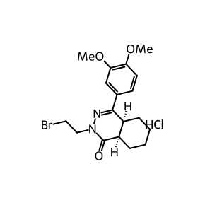 COc1ccc(C2=NN(CCBr)C(=O)[C@@H]3CCCC[C@H]23)cc1OC.Cl